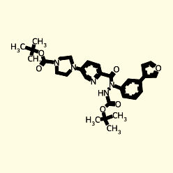 CC(C)(C)OC(=O)NN(C(=O)c1ccc(N2CCN(C(=O)OC(C)(C)C)CC2)cn1)c1cccc(-c2ccoc2)c1